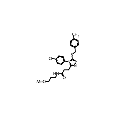 COCCCNC(=O)CCc1nnc(SCc2ccc(C)cc2)n1-c1ccc(Cl)cc1